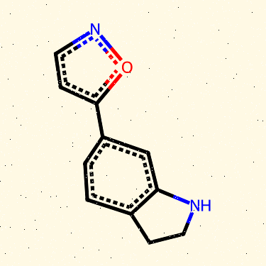 c1cc(-c2ccc3c(c2)NCC3)on1